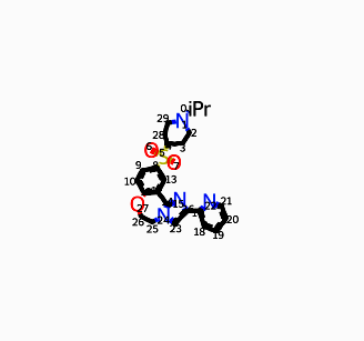 CC(C)N1CCC(S(=O)(=O)c2ccc3c(c2)-c2nc(-c4ccccn4)cn2CCO3)CC1